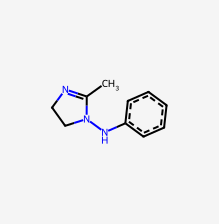 CC1=NCCN1Nc1ccccc1